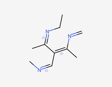 C=N/C(C)=C(/C=N\C)C(\C)=N/CC